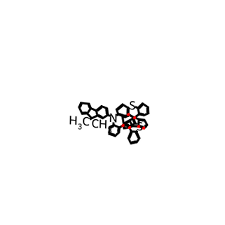 CC1(C)c2ccccc2-c2ccc(N(c3ccc4c(c3)C3(c5ccccc5S4)c4ccccc4-c4ccccc43)c3ccccc3-c3cccc4sc5ccccc5c34)cc21